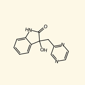 O=C1Nc2ccccc2C1(O)Cc1cnccn1